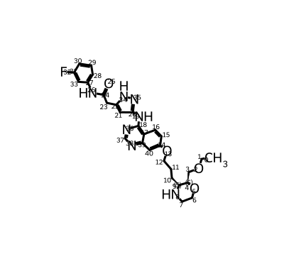 CCOC[C@H]1OCCN[C@H]1CCCOc1ccc2c(Nc3cc(CC(=O)Nc4cccc(F)c4)[nH]n3)ncnc2c1